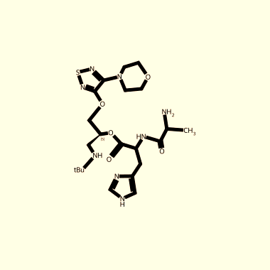 CC(N)C(=O)NC(Cc1c[nH]cn1)C(=O)O[C@@H](CNC(C)(C)C)COc1nsnc1N1CCOCC1